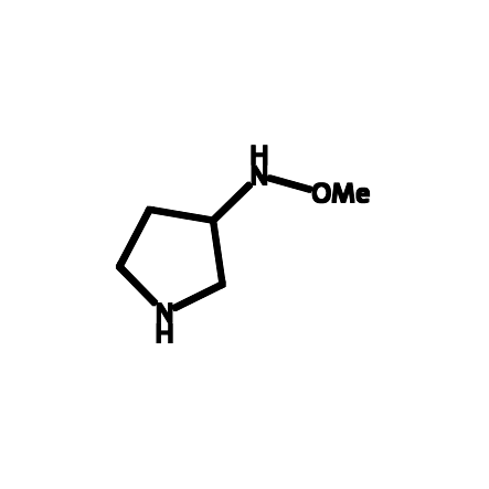 CONC1CCNC1